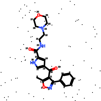 Cc1onc(-c2ccccc2)c1C(=O)c1c[nH]c(C(=O)NCCN2CCOCC2)c1